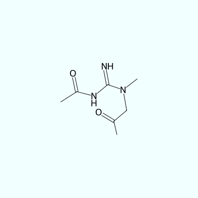 CC(=O)CN(C)C(=N)NC(C)=O